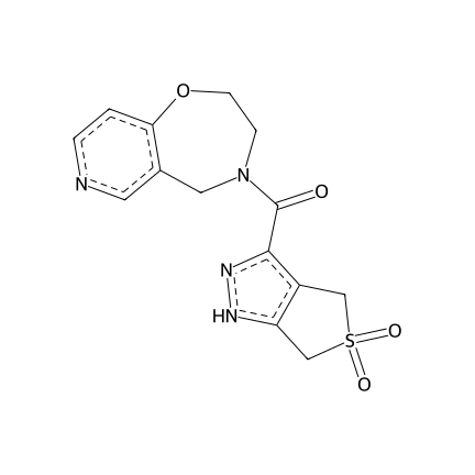 O=C(c1n[nH]c2c1CS(=O)(=O)C2)N1CCOc2ccncc2C1